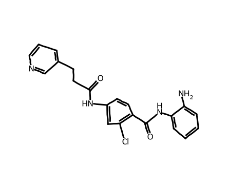 Nc1ccccc1NC(=O)c1ccc(NC(=O)CCc2cccnc2)cc1Cl